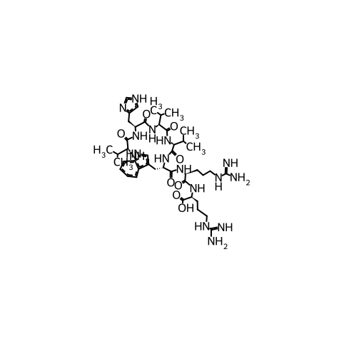 CC(C)[C@H](N)C(=O)N[C@@H](Cc1c[nH]cn1)C(=O)N[C@H](C(=O)N[C@H](C(=O)N[C@@H](Cc1c[nH]c2ccccc12)C(=O)N[C@@H](CCCNC(=N)N)C(=O)N[C@@H](CCCNC(=N)N)C(=O)O)C(C)C)C(C)C